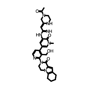 CC(=O)N1CCN/C(=C\C(=N)Nc2cc(-c3ccnc(N4CCn5c(cc6c5CCCC6)C4=O)c3CO)cn(C)c2=O)C1